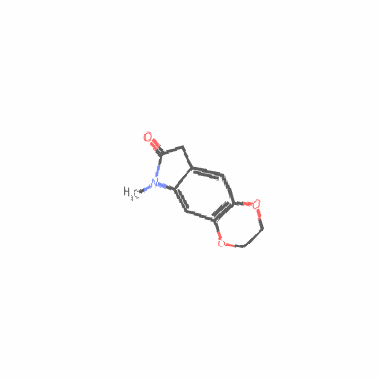 CN1C(=O)Cc2cc3c(cc21)OCCO3